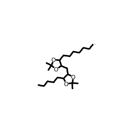 [CH2]CCCCCCC1OC(C)(C)OC1CC1OC(C)(C)OC1CCCCC